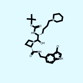 CC(C)(C)OC(=O)N[C@H](CCCCN1CCCCC1)C(O)N1CC[C@H]1C(=O)NCc1ccc2[nH]cc(Cl)c2c1